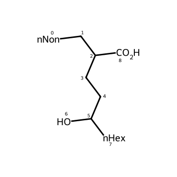 CCCCCCCCCCC(CCC(O)CCCCCC)C(=O)O